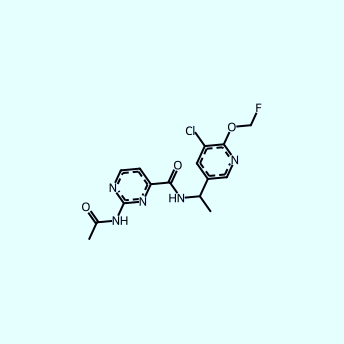 CC(=O)Nc1nccc(C(=O)NC(C)c2cnc(OCF)c(Cl)c2)n1